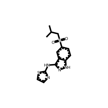 CC(C)CS(=O)(=O)c1ccc2[nH]nc(Nc3nccs3)c2c1